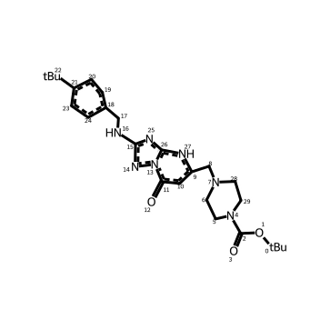 CC(C)(C)OC(=O)N1CCN(Cc2cc(=O)n3nc(NCc4ccc(C(C)(C)C)cc4)nc3[nH]2)CC1